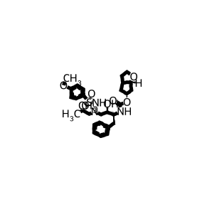 COc1ccc(S(=O)(=O)NN(CC(C)C)C[C@@H](O)[C@H](Cc2ccccc2)NC(=O)O[C@@H]2CC3CCO[C@@H]3C2)cc1